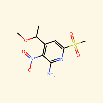 COC(C)c1cc(S(C)(=O)=O)nc(N)c1[N+](=O)[O-]